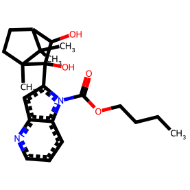 CCCCOC(=O)n1c(C2(O)C(O)C3CCC2(C)C3(C)C)cc2ncccc21